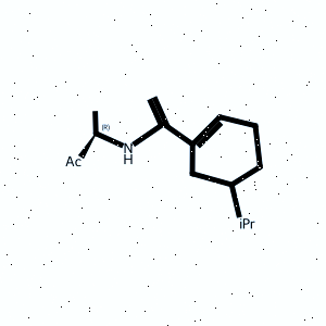 C=C(N[C@H](C)C(C)=O)C1=CCCC(C(C)C)C1